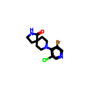 O=C1NCCC12CCN(c1c(Cl)cncc1Br)CC2